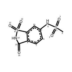 CS(=O)(=O)Nc1ccc2c(c1)S(=O)(=O)NC2=O